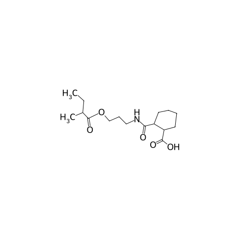 CCC(C)C(=O)OCCCNC(=O)C1CCCCC1C(=O)O